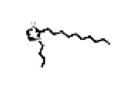 [CH2]CCCCCCCCCc1[nH]cc[n+]1CCCC